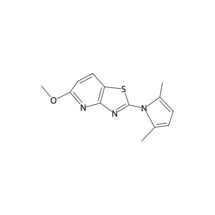 COc1ccc2sc(-n3c(C)ccc3C)nc2n1